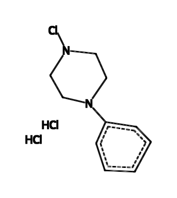 Cl.Cl.ClN1CCN(c2ccccc2)CC1